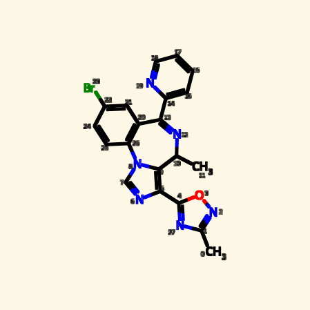 Cc1noc(-c2ncn3c2C(C)N=C(c2ccccn2)c2cc(Br)ccc2-3)n1